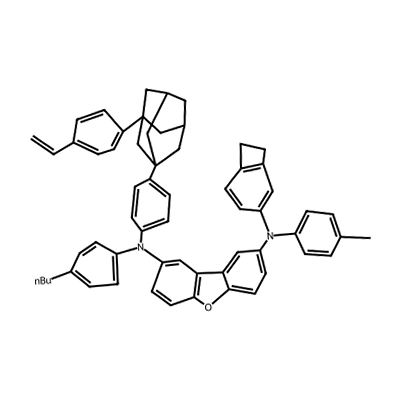 C=Cc1ccc(C23CC4CC(C2)CC(c2ccc(N(c5ccc(CCCC)cc5)c5ccc6oc7ccc(N(c8ccc(C)cc8)c8ccc9c(c8)CC9)cc7c6c5)cc2)(C4)C3)cc1